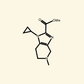 COC(=O)c1nc2c(n1C1CC1)CCN(C)C2